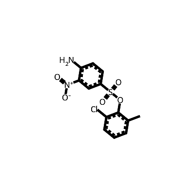 Cc1cccc(Cl)c1OS(=O)(=O)c1ccc(N)c([N+](=O)[O-])c1